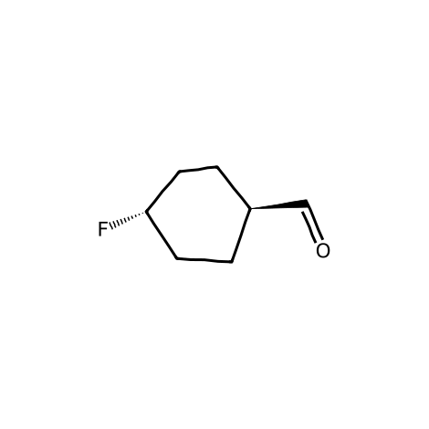 O=C[C@H]1CC[C@H](F)CC1